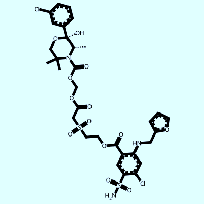 C[C@@H]1N(C(=O)OCOC(=O)CS(=O)(=O)CCOC(=O)c2cc(S(N)(=O)=O)c(Cl)cc2NCc2ccco2)C(C)(C)CO[C@@]1(O)c1cccc(Cl)c1